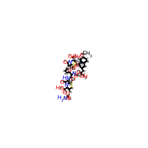 CC1(C)[C@H](C(=O)O)N2C(=O)C[C@H]2S1(=O)=O.CO/N=C(\C(=O)N[C@@H]1C(=O)N2C(C(=O)O)=C(COC(N)=O)CS[C@H]12)c1ccco1.COc1ccc2cc(CC(=O)O)ccc2c1